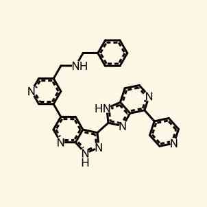 c1ccc(CNCc2cncc(-c3cnc4[nH]nc(-c5nc6c(-c7ccncc7)nccc6[nH]5)c4c3)c2)cc1